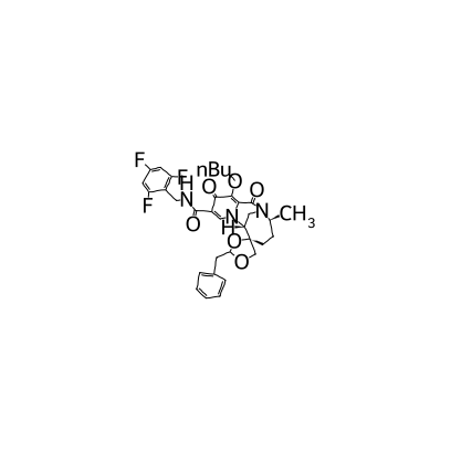 CCCCOc1c2n(cc(C(=O)NCc3c(F)cc(F)cc3F)c1=O)[C@@H]1CN(C2=O)[C@@H](C)CC[C@]12COC(Cc1ccccc1)O2